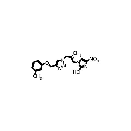 Cc1cccc(OCc2cn(C[C@@H](C)Cn3cc([N+](=O)[O-])nc3O)nn2)c1